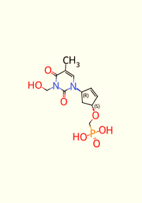 Cc1cn([C@H]2C=C[C@@H](OCP(=O)(O)O)C2)c(=O)n(CO)c1=O